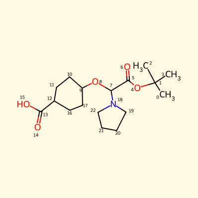 CC(C)(C)OC(=O)C(OC1CCC(C(=O)O)CC1)N1CCCC1